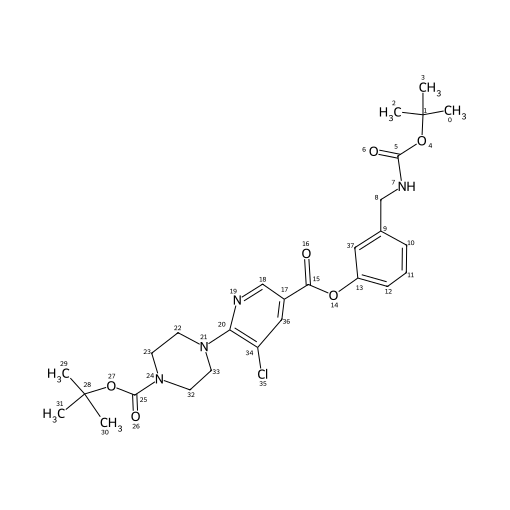 CC(C)(C)OC(=O)NCc1cccc(OC(=O)c2cnc(N3CCN(C(=O)OC(C)(C)C)CC3)c(Cl)c2)c1